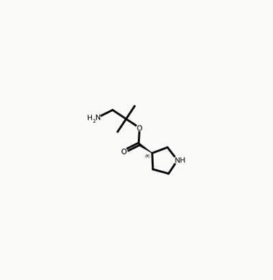 CC(C)(CN)OC(=O)[C@@H]1CCNC1